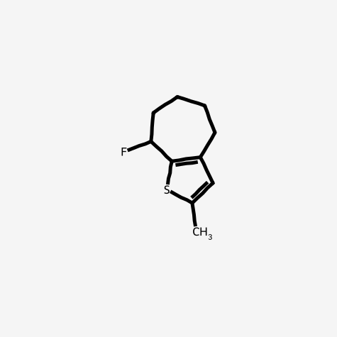 Cc1cc2c(s1)C(F)CCCC2